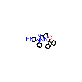 CC(Cn1c(=O)ccc2cnc(N(c3ccccc3)C3CCNCC3)nc21)(c1ccccc1)c1ccccc1